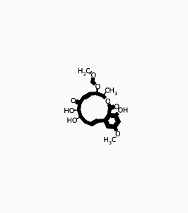 COCO[C@@H]1/C=C\C(=O)[C@@H](O)[C@@H](O)C/C=C/c2cc(OC)cc(O)c2C(=O)O[C@H]1C